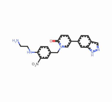 NCCNc1ccc(Cn2cc(-c3ccc4cn[nH]c4c3)ccc2=O)cc1[N+](=O)[O-]